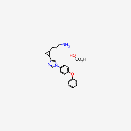 NCCCC1CC1c1cn(-c2ccc(Oc3ccccc3)cc2)cn1.O=C(O)O